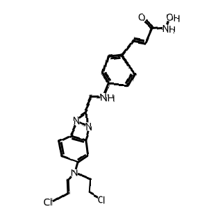 O=C(/C=C/c1ccc(NCC2n3c4ccc(N(CCCl)CCCl)cc4n32)cc1)NO